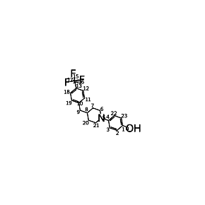 Oc1ccc(N2CCC(Cc3ccc(C(F)(F)F)cc3)CC2)cc1